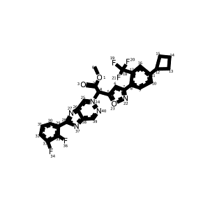 COC(=O)C(c1cc(-c2ccc(C3CCC3)cc2C(F)(F)F)no1)n1cc2nc(-c3cccc(F)c3F)nc-2cn1